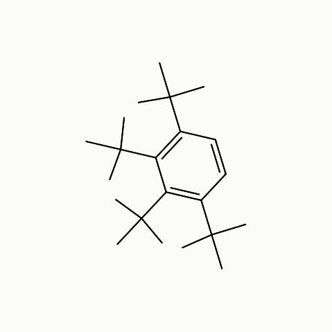 CC(C)(C)c1ccc(C(C)(C)C)c(C(C)(C)C)c1C(C)(C)C